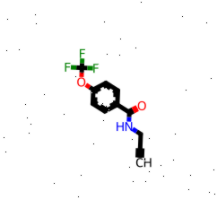 C#CCNC(=O)c1ccc(OC(F)(F)F)cc1